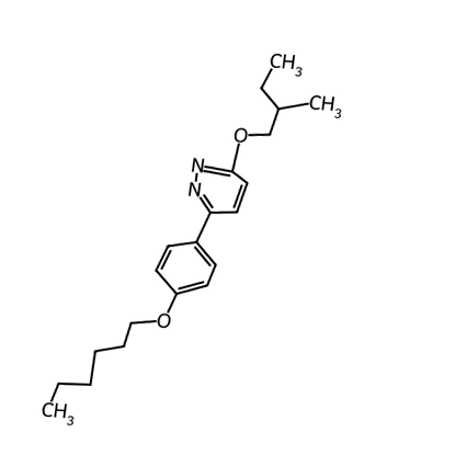 CCCCCCOc1ccc(-c2ccc(OCC(C)CC)nn2)cc1